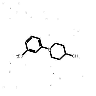 CC1CCN(c2cccc(C(C)(C)C)c2)CC1